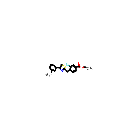 CCOC(=O)c1ccc(Cc2nc(-c3cccc(C)c3)cs2)c(F)c1